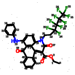 CCOC(=O)c1c2c3c(c(Nc4ccccc4)ccc3n(CCC(F)(F)C(F)(F)C(F)(F)C(F)(F)F)c1=O)C(=O)c1ccccc1-2